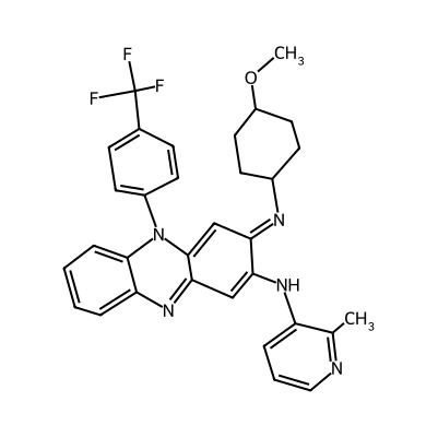 COC1CCC(/N=c2\cc3n(-c4ccc(C(F)(F)F)cc4)c4ccccc4nc-3cc2Nc2cccnc2C)CC1